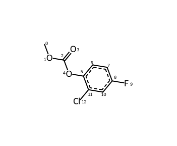 COC(=O)Oc1ccc(F)cc1Cl